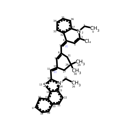 CCN1C(Cl)=C/C(=C\C2=CC(=C/c3sc4c5ccccc5ccc4[n+]3CC)/CC(C)(C)C2)c2ccccc21